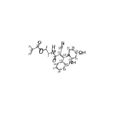 C=C(C)C(=O)OCCNC(=O)C(C#N)=C1c2ccccc2Nc2cc(O)ccc21